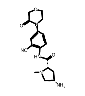 CN1C[C@@H](N)C[C@H]1C(=O)Nc1ccc(N2CCOCC2=O)cc1C#N